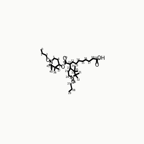 CCCON1CCC(OC(=O)C(CCCCCCCC(=O)O)C2CCN(OCCC)C(C)(C)C2(C)C)C(C)(C)C1(C)C